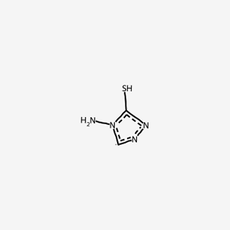 Nn1[c]nnc1S